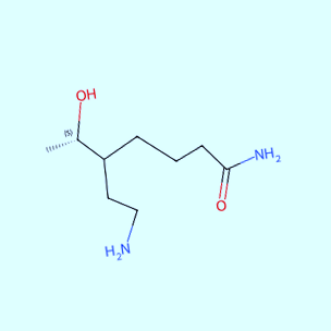 C[C@H](O)C(CCN)CCCC(N)=O